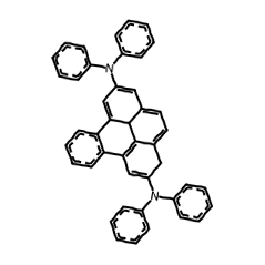 C1=C2CC(N(c3ccccc3)c3ccccc3)=CC3=C2C2C(=C1)C=C(N(c1ccccc1)c1ccccc1)C=C2c1ccccc13